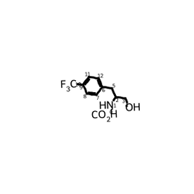 O=C(O)NC(CO)Cc1ccc(C(F)(F)F)cc1